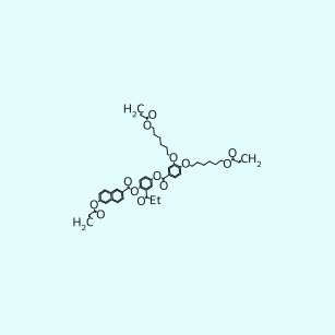 C=CC(=O)OCCCCCCOc1ccc(C(=O)Oc2ccc(OC(=O)c3ccc4cc(OC(=O)C=C)ccc4c3)c(C(=O)CC)c2)cc1OCCCCCCOC(=O)C=C